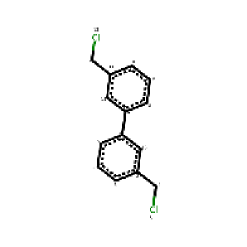 ClCc1cccc(-c2cccc(CCl)c2)c1